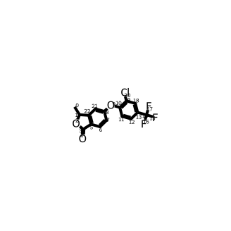 CC1OC(=O)c2ccc(Oc3ccc(C(F)(F)F)cc3Cl)cc21